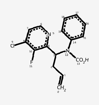 C=CCC(c1nccc(Cl)c1F)N(C(=O)O)c1ccccc1